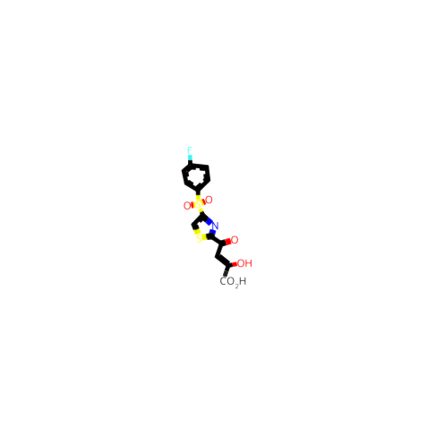 O=C(O)/C(O)=C/C(=O)c1nc(S(=O)(=O)c2ccc(F)cc2)cs1